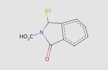 O=C(O)N1C(=O)c2ccccc2C1S